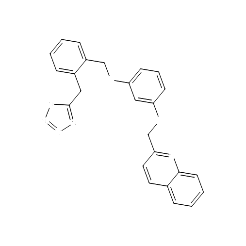 c1cc(OCc2ccc3ccccc3n2)cc(OCc2ccccc2Cc2nnn[nH]2)c1